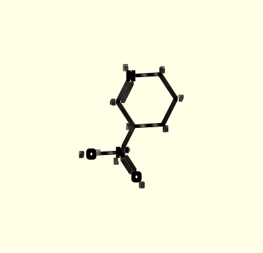 O=[N+]([O-])C1C=NCCC1